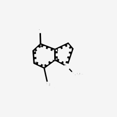 CNn1ccc2c(N)ccc(N)c21